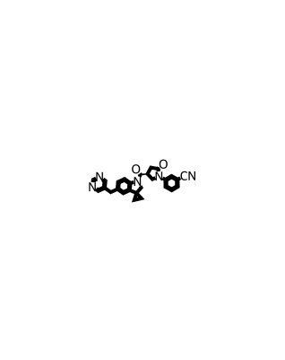 N#Cc1cccc(N2C[C@@H](C(=O)N3CC4(CC4)c4cc(Cc5cncnc5)ccc43)CC2=O)c1